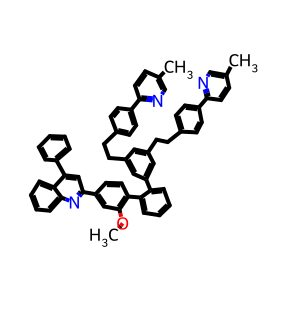 COc1cc(-c2cc(-c3ccccc3)c3ccccc3n2)ccc1-c1ccccc1-c1cc(CCc2ccc(-c3ccc(C)cn3)cc2)cc(CCc2ccc(-c3ccc(C)cn3)cc2)c1